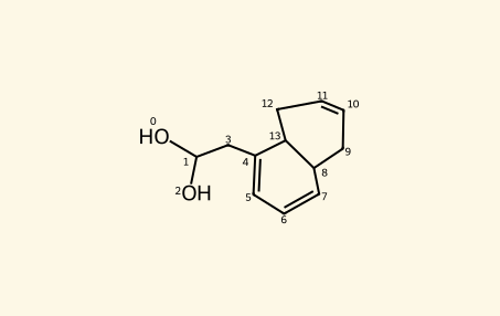 OC(O)CC1=CC=CC2CC=CCC12